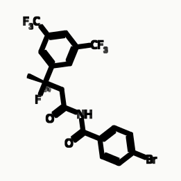 C[C@](F)(CC(=O)NC(=O)c1ccc(Br)cc1)c1cc(C(F)(F)F)cc(C(F)(F)F)c1